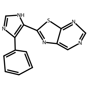 c1ccc(-c2nc[nH]c2-c2nc3cncnc3s2)cc1